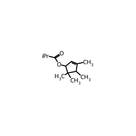 CC1=CC(OC(=O)C(C)C)C(C)(C)C1C